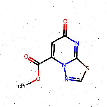 CCCOC(=O)c1cc(=O)nc2scnn12